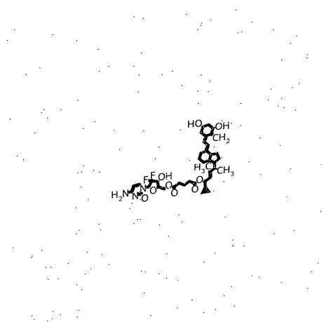 C=C1/C(=C\C=C2/CCC[C@@]3(C)C2CCC3[C@@H](C)/C=C/C(OC(=O)CCCC(=O)OCC2OC(n3ccc(N)nc3=O)C(F)(F)C2O)C2CC2)C[C@@H](O)C[C@@H]1O